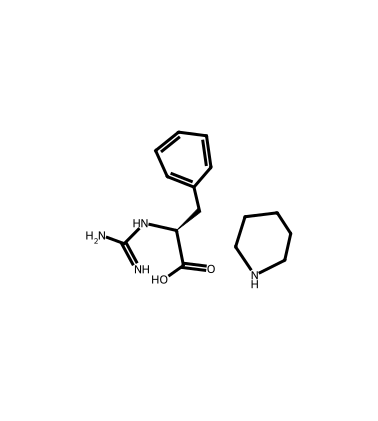 C1CCNCC1.N=C(N)N[C@@H](Cc1ccccc1)C(=O)O